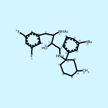 CC(=O)NC(Cc1cc(F)cc(F)c1)C(O)CNC1(c2cccc(C(C)(C)C)c2)CCCC(C)C1